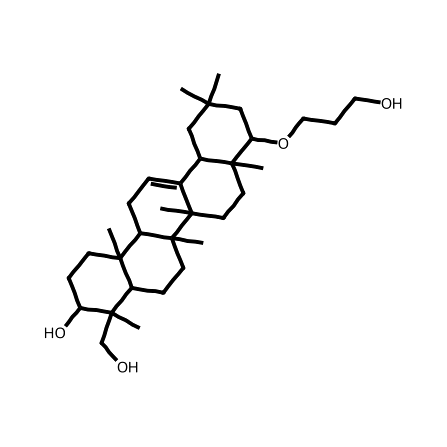 CC1(C)CC(OCCCO)C2(C)CCC3(C)C(=CCC4C5(C)CCC(O)C(C)(CO)C5CCC43C)C2C1